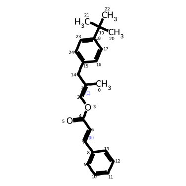 C/C(=C\OC(=O)/C=C/c1ccccc1)Cc1ccc(C(C)(C)C)cc1